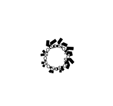 C=C[Si]1(C=C)O[Si](C)(C)O[Si](C)(C)O[Si](C)(C)O[Si](C)(C)O[Si](C=C)(C=C)O[Si](C=C)(C=C)O[Si](C=C)(C=C)O1